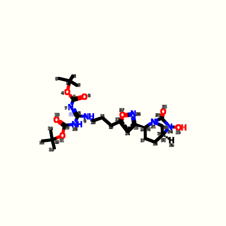 CC(C)(C)OC(=O)/N=C(\NCCCc1cc([C@@H]2CC[C@H]3CN2C(=O)N3O)no1)NC(=O)OC(C)(C)C